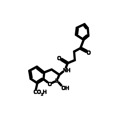 O=C(CCC(=O)c1ccccc1)NC1Cc2cccc(C(=O)O)c2OB1O